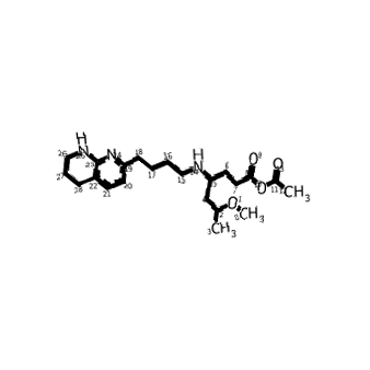 COC(C)CC(CCC(=O)OC(C)=O)NCCCCc1ccc2c(n1)NCCC2